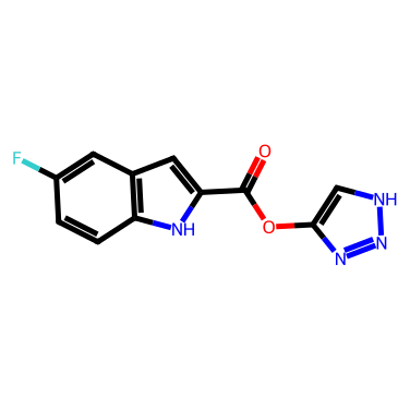 O=C(Oc1c[nH]nn1)c1cc2cc(F)ccc2[nH]1